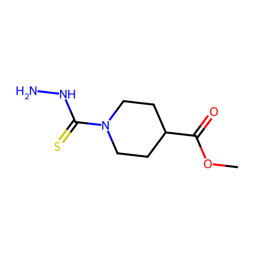 COC(=O)C1CCN(C(=S)NN)CC1